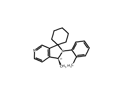 Cc1ccccc1N1[C@@H](C)c2ccncc2C12CCCCC2